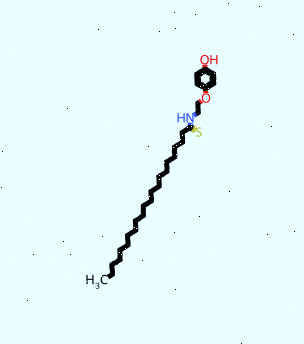 CCCCCCCCCCCCCCCCCCCCCC(=S)NCCOc1ccc(O)cc1